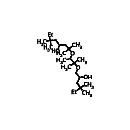 CCC(C)(C)CC(O)COC(C)(C)C(C)OC(C)(C)CC(O)CC(C)(C)CC